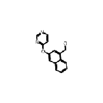 ClCc1cc(Oc2ccncn2)cc2ccccc12